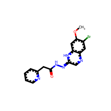 COc1cc2[nH]/c(=N\NC(=O)Cc3ccccn3)cnc2cc1Br